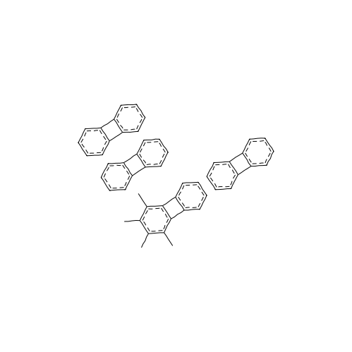 Cc1c(C)c(C)c2c(c1C)-c1ccccc1-2.c1ccc2c(c1)-c1ccccc1-2.c1ccc2c(c1)-c1ccccc1-2.c1ccc2c(c1)-c1ccccc1-2